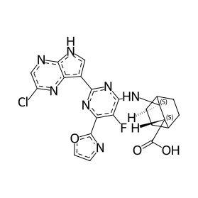 O=C(O)[C@H]1C2CCC(CC2)[C@@H]1Nc1nc(-c2c[nH]c3ncc(Cl)nc23)nc(-c2ncco2)c1F